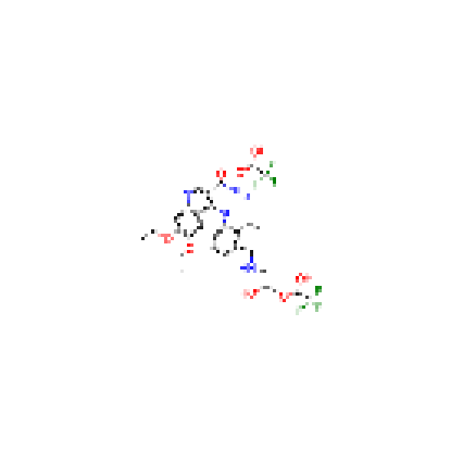 CCOc1cc2ncc(C(N)=O)c(Nc3cccc(CNCC(C)O)c3CC)c2cc1OCC.O=C(O)C(F)(F)F.O=C(O)C(F)(F)F